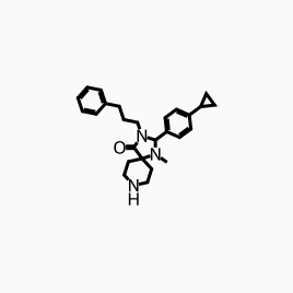 CN1C(c2ccc(C3CC3)cc2)N(CCCc2ccccc2)C(=O)C12CCNCC2